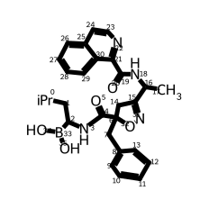 CC(C)CC(NC(=O)C1(Cc2ccccc2)CC(C(C)NC(=O)c2nccc3ccccc23)=NO1)B(O)O